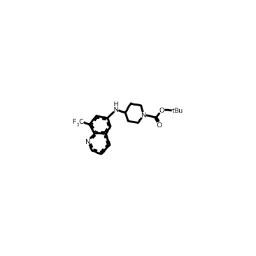 CC(C)(C)OC(=O)N1CCC(Nc2cc(C(F)(F)F)c3ncccc3c2)CC1